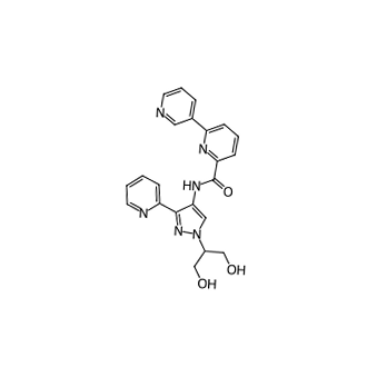 O=C(Nc1cn(C(CO)CO)nc1-c1ccccn1)c1cccc(-c2cccnc2)n1